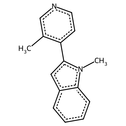 Cc1cnccc1-c1cc2ccccc2n1C